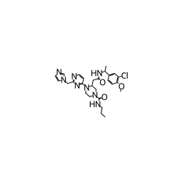 CCCNC(=O)N1CCN(c2ccnc(Cn3ccnc3)n2)C(CC(=O)NC(C)c2ccc(OC)c(Cl)c2)C1